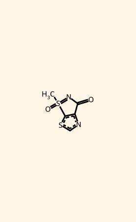 CS1(=O)=NC(=O)c2ncsc21